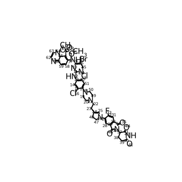 COP(=O)(OC)c1c(Nc2nc(Nc3cc(Cl)c(N4CCN(CCC5=CN(c6cc7c(cc6F)C(=O)N(C6CCC(=O)NC6=O)C7=O)CC5)CC4)cc3Cl)ncc2Br)ccc2nccnc12